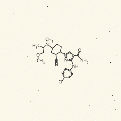 COCC(C)N(C)C1CCC(n2cc(C(N)=O)c(Nc3ccc(Cl)cc3)n2)C(C#N)C1